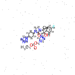 CCOC(=O)OCN1C=NN(C[C@@](O)(c2ccc(F)cc2F)[C@@H](C)N2CCN(c3ccc(-n4cnnn4)cc3)C2=O)C1